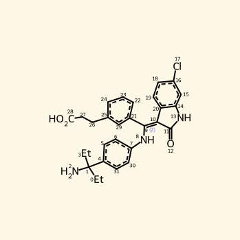 CCC(N)(CC)c1ccc(N/C(=C2\C(=O)Nc3cc(Cl)ccc32)c2cccc(CCC(=O)O)c2)cc1